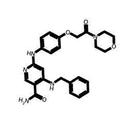 NC(=O)c1cnc(Nc2ccc(OCC(=O)N3CCOCC3)cc2)cc1NCc1ccccc1